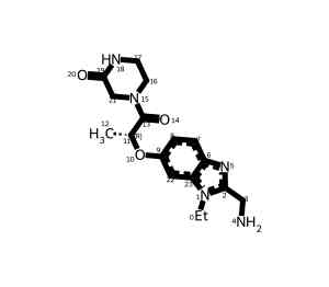 CCn1c(CN)nc2ccc(O[C@H](C)C(=O)N3CCNC(=O)C3)cc21